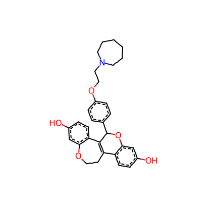 Oc1ccc2c(c1)OC(c1ccc(OCCN3CCCCCC3)cc1)C1=C2CCOc2cc(O)ccc21